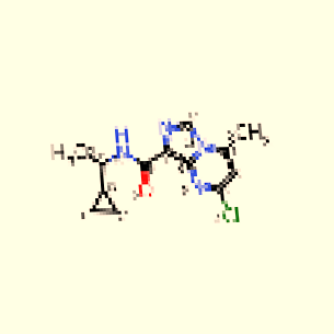 Cc1cc(Cl)nc2c(C(=O)NC(C)C3CC3)ncn12